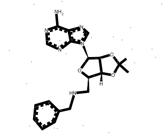 CC1(C)OC2[C@H](n3cnc4c(N)ncnc43)O[C@H](CNCc3ccccc3)[C@H]2O1